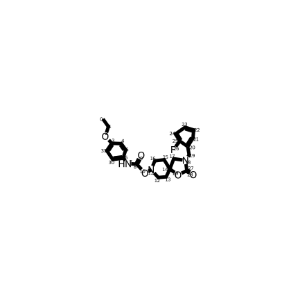 CCOc1ccc(NC(=O)ON2CCC3(CC2)CN(Cc2ccccc2F)C(=O)O3)cc1